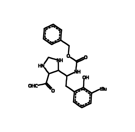 CC(C)(C)c1cccc(CC(NC(=O)OCc2ccccc2)C2NCNC2C(=O)C=O)c1O